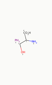 NC(CO)C(=O)O.P